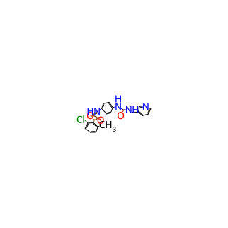 Cc1cccc(Cl)c1S(=O)(=O)Nc1ccc(NC(=O)NCc2cccnc2)cc1